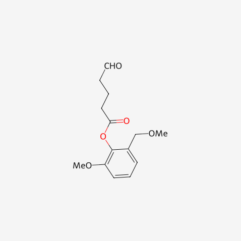 COCc1cccc(OC)c1OC(=O)CCCC=O